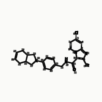 CCc1nc2cc(Cl)ccn2c1C(=O)NCc1ccc(N2CC3CC=CCC3C2)cc1